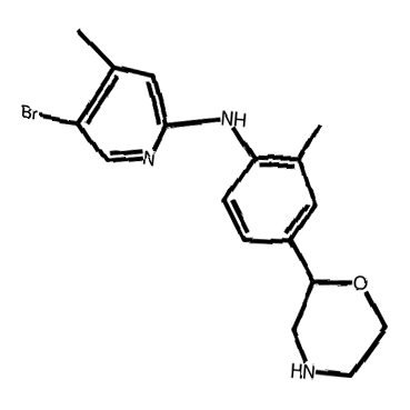 Cc1cc(Nc2ccc(C3CNCCO3)cc2C)ncc1Br